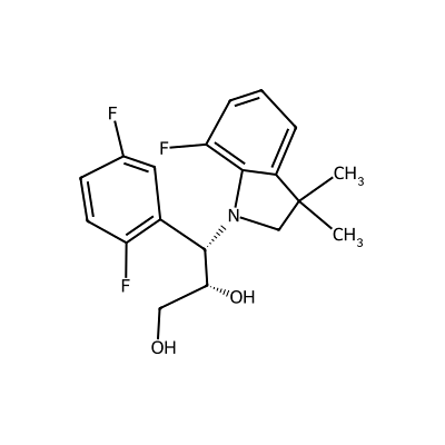 CC1(C)CN([C@@H](c2cc(F)ccc2F)[C@H](O)CO)c2c(F)cccc21